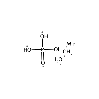 O.O.O=P(O)(O)O.[Mn]